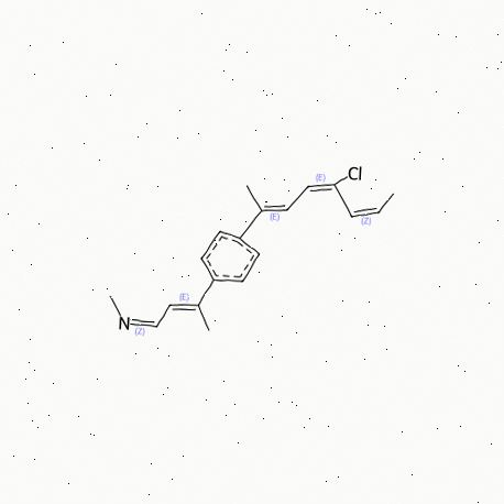 C\C=C/C(Cl)=C\C=C(/C)c1ccc(/C(C)=C/C=N\C)cc1